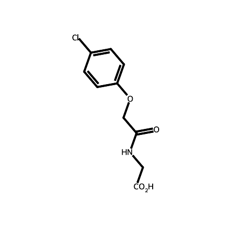 O=C(O)CNC(=O)COc1ccc(Cl)cc1